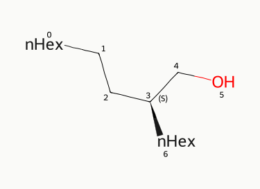 CCCCCCCC[C@@H](CO)CCCCCC